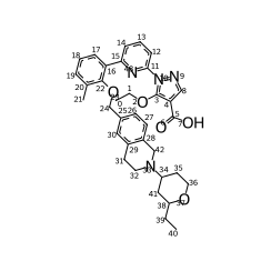 CCOc1c(C(=O)O)cnn1-c1cccc(-c2cccc(C)c2OCc2ccc3c(c2)CCN(C2CCOC(CC)C2)C3)n1